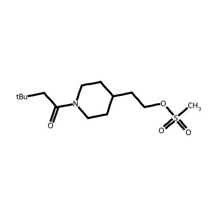 CC(C)(C)CC(=O)N1CCC(CCOS(C)(=O)=O)CC1